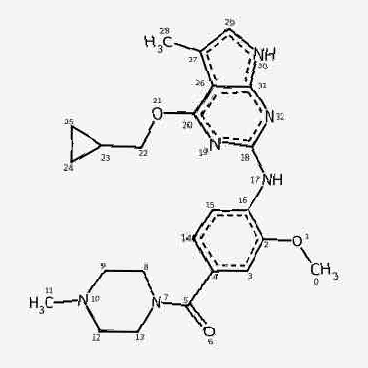 COc1cc(C(=O)N2CCN(C)CC2)ccc1Nc1nc(OCC2CC2)c2c(C)c[nH]c2n1